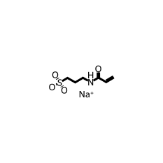 C=CC(=O)NCCCS(=O)(=O)[O-].[Na+]